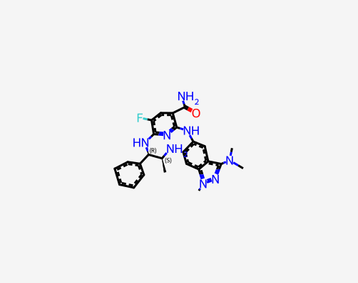 C[C@H](N)[C@H](Nc1nc(Nc2ccc3c(c2)c(N(C)C)nn3C)c(C(N)=O)cc1F)c1ccccc1